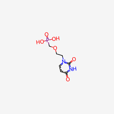 O=c1ccn(CCOCP(=O)(O)O)c(=O)[nH]1